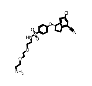 N#Cc1cc(Cl)cc2c1CC[C@H]2Oc1ccc(S(=O)(=O)NCCOCCOCCN)cc1